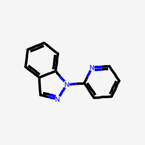 [c]1ccc2c(c1)cnn2-c1ccccn1